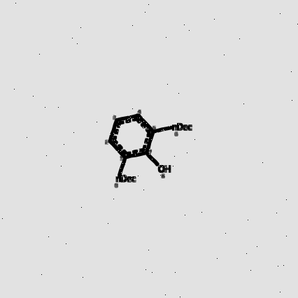 CCCCCCCCCCc1cccc(CCCCCCCCCC)c1O